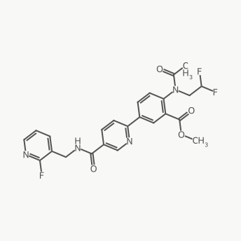 COC(=O)c1cc(-c2ccc(C(=O)NCc3cccnc3F)cn2)ccc1N(CC(F)F)C(C)=O